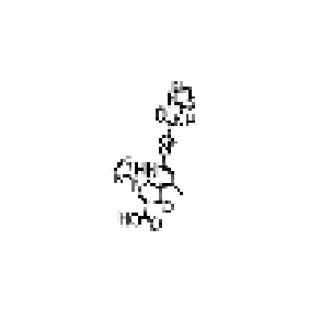 CC1=C2C(=O)C(C(=O)O)=CN(c3nccs3)C2NC(N2CC(C(=O)Nc3nncs3)C2)=C1